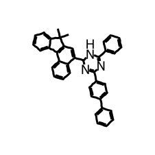 CC1(C)c2ccccc2-c2c1cc(C1N=C(c3ccc(-c4ccccc4)cc3)N=C(c3ccccc3)N1)c1ccccc21